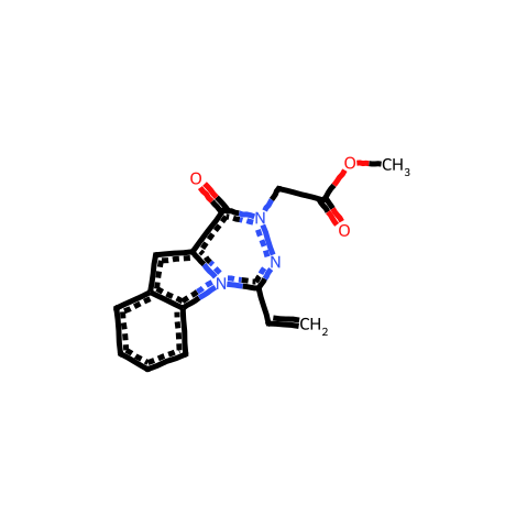 C=Cc1nn(CC(=O)OC)c(=O)c2cc3ccccc3n12